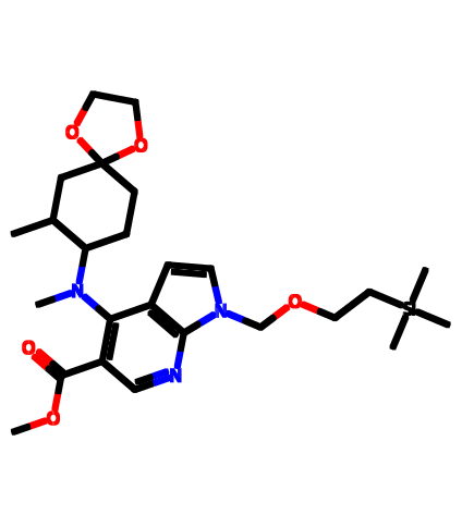 COC(=O)c1cnc2c(ccn2COCC[Si](C)(C)C)c1N(C)C1CCC2(CC1C)OCCO2